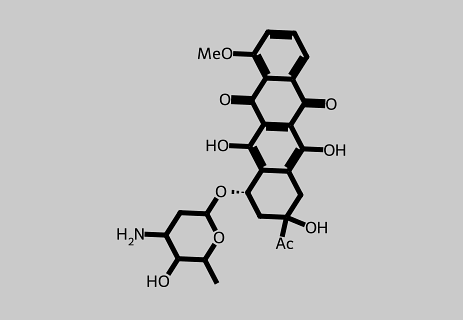 COc1cccc2c1C(=O)c1c(O)c3c(c(O)c1C2=O)CC(O)(C(C)=O)C[C@@H]3OC1CC(N)C(O)C(C)O1